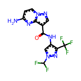 Nc1ccn2ncc(C(=O)Nc3cn(C(F)F)nc3C(F)(F)F)c2n1